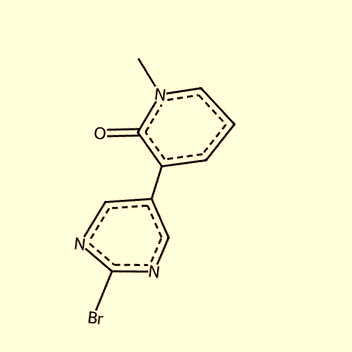 Cn1cccc(-c2cnc(Br)nc2)c1=O